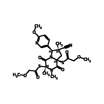 COCC(=O)S[C@@]1(C)C(=O)N2[C@@H](c3ccc(OC)nc3)[C@@](C)(C#N)C[C@]2(SC(=O)COC)C(=O)N1C